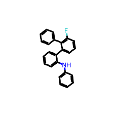 Fc1cccc(-c2ccccc2Nc2ccccc2)c1-c1ccccc1